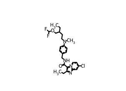 CCc1nc2cc(Cl)ccn2c1C(=O)NCc1ccc(N(C)CCC(CC)COC(F)F)cc1